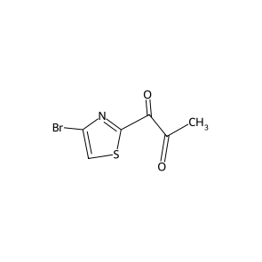 CC(=O)C(=O)c1nc(Br)cs1